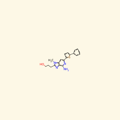 Cn1c(CCCO)nc2c(N)nc(-c3ccc(-c4ccccc4)s3)cc21